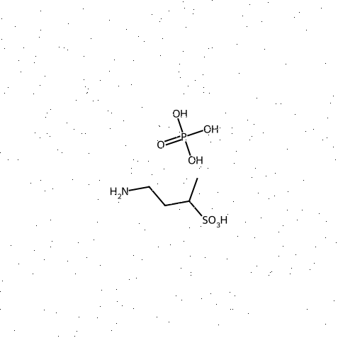 CC(CCN)S(=O)(=O)O.O=P(O)(O)O